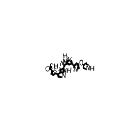 CC(=O)c1ccc(-c2ccnc3[nH]c(-c4n[nH]c5ncc(-c6cncc(OC7CCNCC7)c6)cc45)cc23)s1